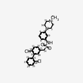 CN1CCN(c2cccc(NS(=O)(=O)Cc3ccc(Cl)c(-c4ccccc4Cl)c3)c2)CC1